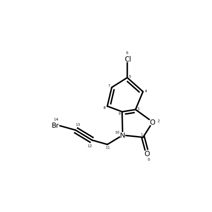 O=c1oc2cc(Cl)ccc2n1CC#CBr